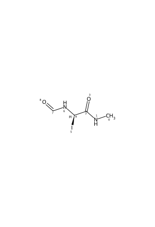 CNC(=O)[C@@H](I)NC=O